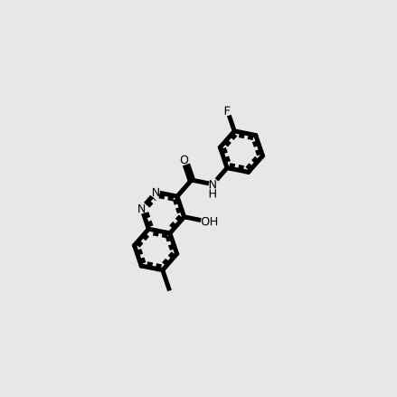 Cc1ccc2nnc(C(=O)Nc3cccc(F)c3)c(O)c2c1